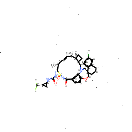 CO[C@H]1/C=C/C[C@H](C)C[S@@](=O)(NC(=O)NC2C[C@H]2C(F)F)=NC(=O)c2ccc3c(c2)N(C[C@@H]2CC[C@H]21)C[C@@]1(CCCc2cc(Cl)ccc21)CO3